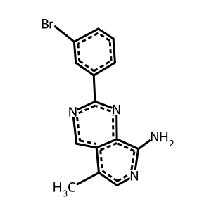 Cc1cnc(N)c2nc(-c3cccc(Br)c3)ncc12